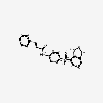 O=C(C=Cc1cccnc1)Nc1ccc(S(=O)(=O)c2cccc3c2OCC3)cc1